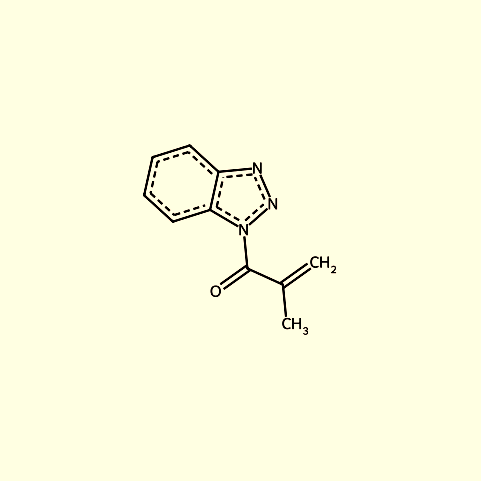 C=C(C)C(=O)n1nnc2ccccc21